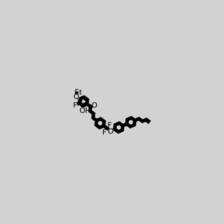 C=CCCC1CCC(C2CCC(OC(F)(F)C3CCC(CCCC(=O)c4ccc(OCC)c(F)c4O)CC3)CC2)CC1